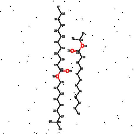 CCCCCCCCCCCC(=O)OC(C)C.CCCCCCCCCCCC(=O)OCCCCCCCC(C)C